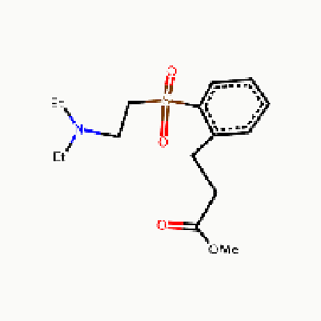 CCN(CC)CCS(=O)(=O)c1ccccc1CCC(=O)OC